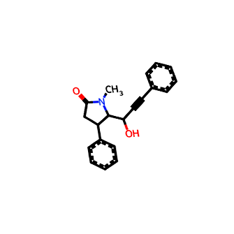 CN1C(=O)CC(c2ccccc2)C1C(O)C#Cc1ccccc1